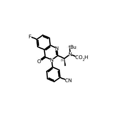 C[C@@H](c1nc2ccc(F)cc2c(=O)n1-c1cccc(C#N)c1)N(C(=O)O)C(C)(C)C